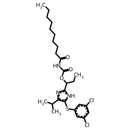 CCCCCCCCCC(=O)NC(=O)OC(CC)c1nc(C(C)C)c(Sc2cc(Cl)cc(Cl)c2)[nH]1